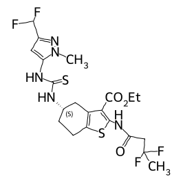 CCOC(=O)c1c(NC(=O)CC(C)(F)F)sc2c1C[C@@H](NC(=S)Nc1cc(C(F)F)nn1C)CC2